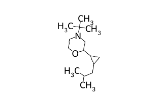 CC(C)CC1CC1C1CN(C(C)(C)C)CCO1